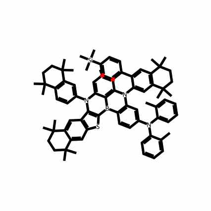 Cc1cc2c3c(c1)N(c1ccc4c(c1)C(C)(C)CCC4(C)C)c1c(sc4cc5c(cc14)C(C)(C)CCC5(C)C)B3c1ccc(N(c3ccccc3C)c3ccccc3C)cc1N2c1cc2c(cc1-c1ccc([Si](C)(C)C)cc1)C(C)(C)CCC2(C)C